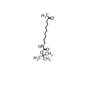 CC(=O)CCCCCCCCNC(=O)OC(C)(C)C